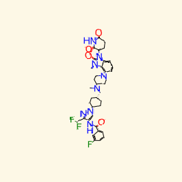 CN(C[C@H]1CC[C@H](n2cc(NC(=O)c3cccc(F)c3)c(C(F)F)n2)CC1)C1CCN(c2cccc3c2n(C)c(=O)n3C2CCC(=O)NC2=O)CC1